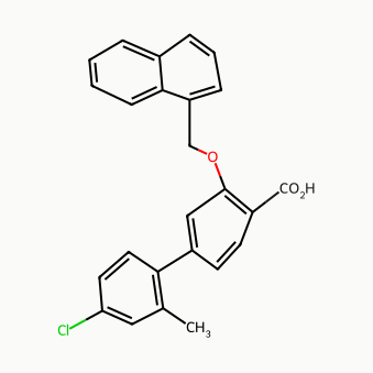 Cc1cc(Cl)ccc1-c1ccc(C(=O)O)c(OCc2cccc3ccccc23)c1